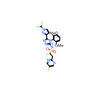 COc1cccc(OC)c1-n1c(NS(=O)(=O)[C@@H](C)Cc2ncc(F)cn2)nnc1-c1ccn(C(F)F)n1